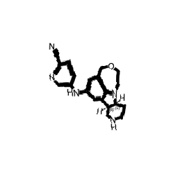 N#Cc1ccc(Nc2cc3c4c(c2)[C@@H]2CNCC[C@@H]2N4CCOC3)cn1